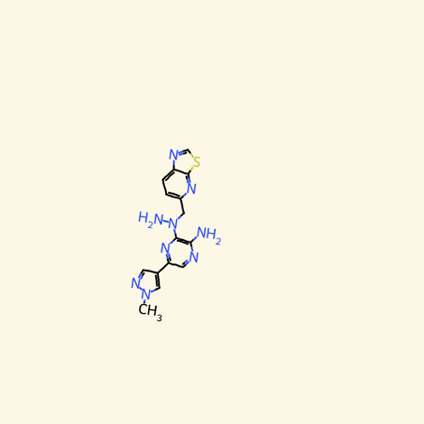 Cn1cc(-c2cnc(N)c(N(N)Cc3ccc4ncsc4n3)n2)cn1